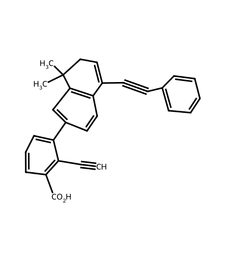 C#Cc1c(C(=O)O)cccc1-c1ccc2c(c1)C(C)(C)CC=C2C#Cc1ccccc1